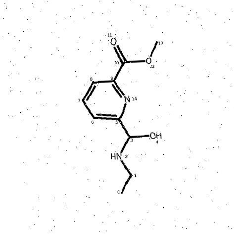 CCNC(O)c1cccc(C(=O)OC)n1